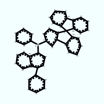 c1ccc(-c2ccc(N(c3ccccc3)c3ccc4c(c3)-c3ccccc3C43c4ccccc4-c4ccccc43)c3ccccc23)cc1